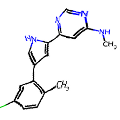 CNc1cc(-c2cc(-c3cc(Cl)ccc3C)c[nH]2)ncn1